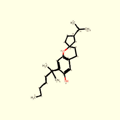 CCCCCC(C)(C)c1cc2c(cc1O)CCC1(CCC(C(C)C)C1)O2